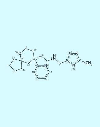 Cc1csc(CNCC[C@@]2(c3ccccn3)CCOC3(CCCC3)C2)n1